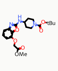 COC(=O)COc1cccc2nc(NC3CCN(C(=O)OC(C)(C)C)CC3)oc12